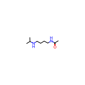 CC(=O)NCCCCNC(C)C